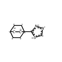 [c]1nnc(C23CC[C](CC2)CC3)s1